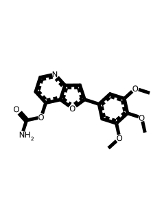 COc1cc(-c2cc3nccc(OC(N)=O)c3o2)cc(OC)c1OC